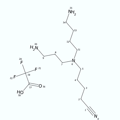 N#CCCCCN(CCCN)CCCCN.O=C(O)C(F)(F)F